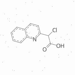 O=C(O)C(Cl)c1ccc2ccccc2n1